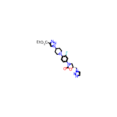 CCOC(=O)c1cn(C2CCN(c3ccc(N4C[C@H](Cn5ccnn5)OC4=O)cc3F)CC2)nn1